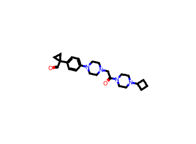 O=CC1(c2ccc(N3CCN(CC(=O)N4CCN(C5CCC5)CC4)CC3)cc2)CC1